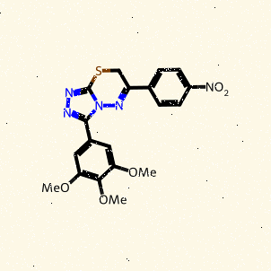 COc1cc(-c2nnc3n2N=C(c2ccc([N+](=O)[O-])cc2)CS3)cc(OC)c1OC